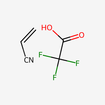 C=CC#N.O=C(O)C(F)(F)F